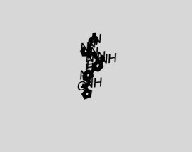 Cc1cn(-c2nccc3[nH]c(-c4n[nH]c5ccc(-c6cncc(NC(=O)C7CCCC7)c6)c(F)c45)nc23)cn1